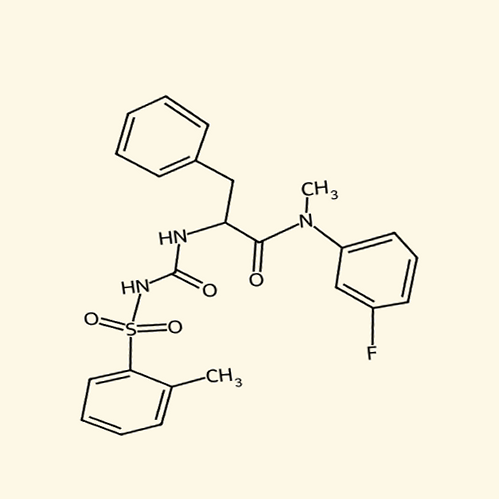 Cc1ccccc1S(=O)(=O)NC(=O)NC(Cc1ccccc1)C(=O)N(C)c1cccc(F)c1